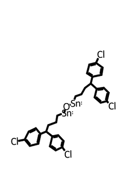 Clc1ccc(C(CC[CH2][Sn][O][Sn][CH2]CCC(c2ccc(Cl)cc2)c2ccc(Cl)cc2)c2ccc(Cl)cc2)cc1